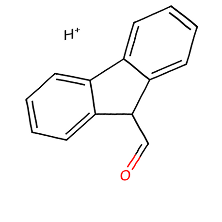 O=CC1c2ccccc2-c2ccccc21.[H+]